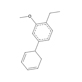 CCc1ccc(C2C=CC=CC2)cc1OC